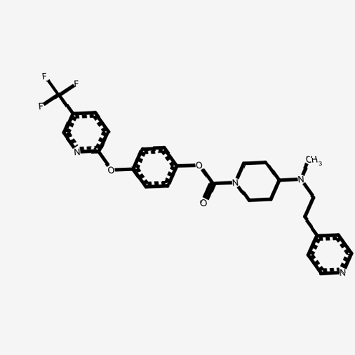 CN(CCc1ccncc1)C1CCN(C(=O)Oc2ccc(Oc3ccc(C(F)(F)F)cn3)cc2)CC1